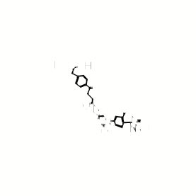 CC(C)Cc1ccc(C(=O)CCC(=O)NC[C@H]2CN(c3ccc(-c4nc[nH]n4)c(F)c3)C(=O)O2)cc1